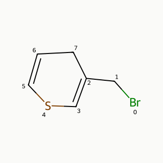 BrCC1=CSC=CC1